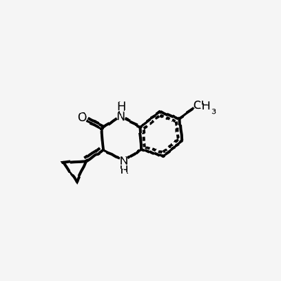 Cc1ccc2c(c1)NC(=O)C(=C1CC1)N2